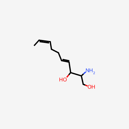 C/C=C\CC/C=C/C(O)C(N)CO